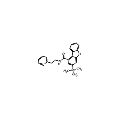 [CH3][Sn]([CH3])([CH3])[c]1cc(C(=O)NCCc2ccccn2)c2c(c1)oc1ccccc12